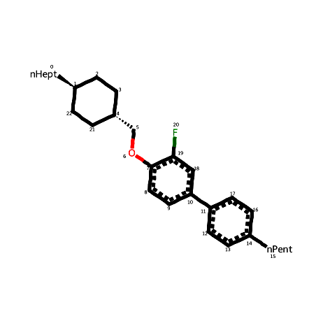 CCCCCCC[C@H]1CC[C@H](COc2ccc(-c3ccc(CCCCC)cc3)cc2F)CC1